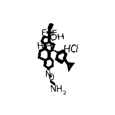 C#CC(F)(F)[C@]1(O)CC[C@H]2[C@@H]3CCC4=C/C(=N/OCCN)CCC4=C3[C@H](c3ccc(C4CC4)cc3)C[C@@]21C.Cl